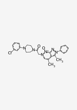 Cc1cn(CC(=O)N2CCN(c3cccc(Cl)c3)CC2)[n+](=O)c2nn(-c3ccccc3)c(C)c12